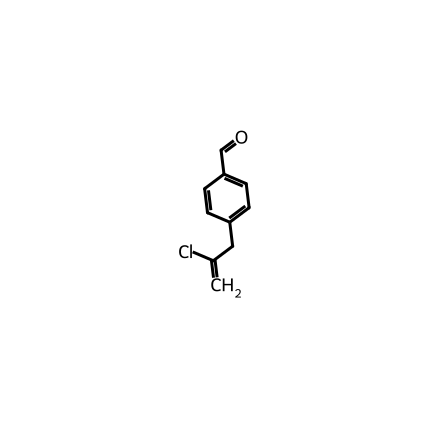 C=C(Cl)Cc1ccc(C=O)cc1